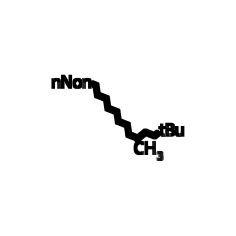 CCCCCCCCCCCCCCCCCC(C)CCC(C)(C)C